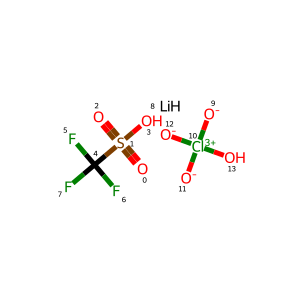 O=S(=O)(O)C(F)(F)F.[LiH].[O-][Cl+3]([O-])([O-])O